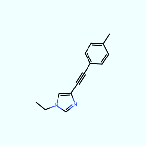 CCn1cnc(C#Cc2ccc(C)cc2)c1